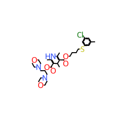 CC1=C(C(=O)OCCCCSc2cc(C)cc(Cl)c2)C(C)C(C(=O)OC(CN2CCOCC2)CN2CCOCC2)=C(C)N1